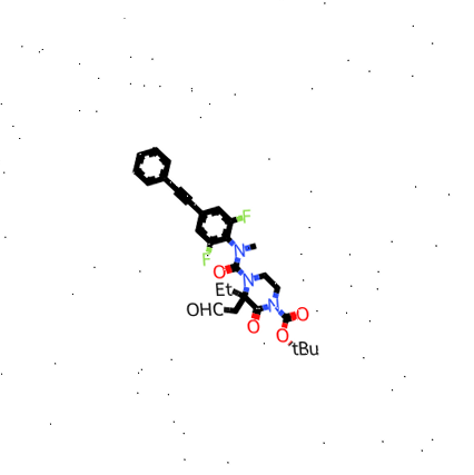 CCC1(CC=O)C(=O)N(C(=O)OC(C)(C)C)CCN1C(=O)N(C)c1c(F)cc(C#Cc2ccccc2)cc1F